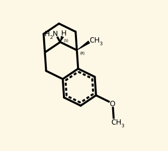 COc1ccc2c(c1)[C@@]1(C)CCCC(C2)[C@@H]1N